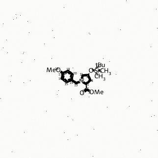 COC(=O)[C@@H]1C[C@@H](O[Si](C)(C)C(C)(C)C)CN1Cc1ccc(OC)cc1